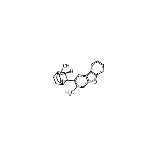 Cc1cc2oc3ccccc3c2cc1N1[C@@H](C)C23CCC1(CC2)CC3